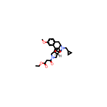 CCOC(=O)CC(=O)N1C[C@H]2CC34CCC1C2C31CCN(CC2CC2)C4Cc2ccc(OC)cc21